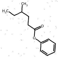 CCC(C)CCC(=O)Oc1ccccc1